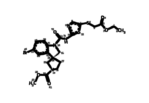 CCOC(=O)CSc1cnc(NC(=O)N2C[C@@]3(CCN(C(=O)OC)C3)c3cc(Br)ccc32)s1